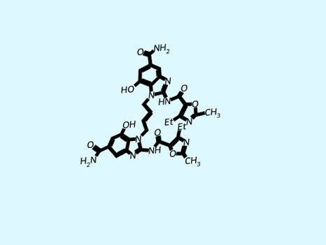 CCc1nc(C)oc1C(=O)Nc1nc2cc(C(N)=O)cc(O)c2n1C/C=C/Cn1c(NC(=O)c2oc(C)nc2CC)nc2cc(C(N)=O)cc(O)c21